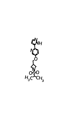 CC(C)S(=O)(=O)N1CC(COc2ccc(-c3ccn[nH]3)nc2)C1